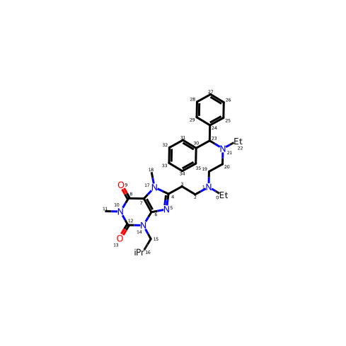 CCN(CCc1nc2c(c(=O)n(C)c(=O)n2CC(C)C)n1C)CCN(CC)C(c1ccccc1)c1ccccc1